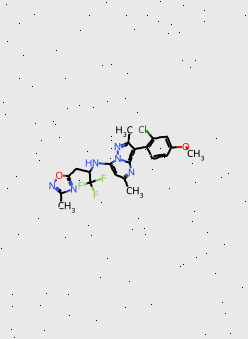 COc1ccc(-c2c(C)nn3c(NC(Cc4nc(C)no4)C(F)(F)F)cc(C)nc23)c(Cl)c1